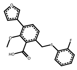 COc1c(-c2ccoc2)ccc(CSc2ccccc2F)c1C(=O)O